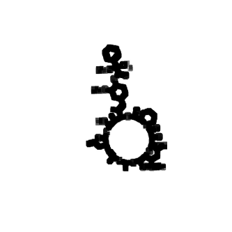 C=CCC1C=C(C)CC(C)CC(OC)C2OC(O)(C(=O)C(=O)N3CCCCC3C(=O)OC(C(C)=CC3CCC(OC(=O)C(OC)(c4ccccc4)C(F)(F)F)C(OC)C3)C(C)C(O)CC1=O)C(C)CC2OC